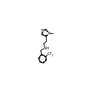 Cn1cncc1CCNCc1ccccc1C(F)(F)F